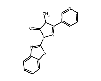 CC1C(=O)N(c2nc3ccccc3s2)N=C1c1cccnc1